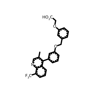 Cc1cnc2c(C(F)(F)F)cccc2c1-c1cccc(OCc2cccc(OCC(=O)O)c2)c1